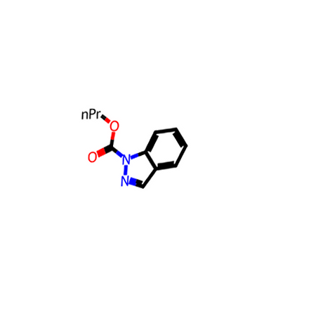 CCCOC(=O)n1ncc2ccccc21